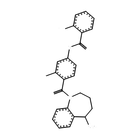 CNC1CCCN(C(=O)c2ccc(NC(=O)c3ccccc3C(F)(F)F)cc2Cl)c2ccccc21